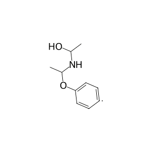 CC(O)NC(C)Oc1cc[c]cc1